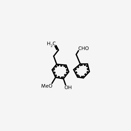 C=CCc1ccc(O)c(OC)c1.O=CCc1ccccc1